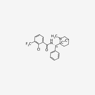 CN1CC2CCC1([C@@H](NC(=O)c1cccc(C(F)(F)F)c1Cl)c1ccccc1)CC2